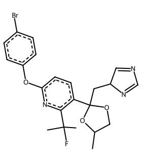 CC1COC(CC2C=NC=N2)(c2ccc(Oc3ccc(Br)cc3)nc2C(C)(C)F)O1